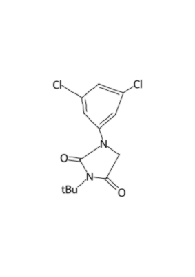 CC(C)(C)N1C(=O)CN(c2cc(Cl)cc(Cl)c2)C1=O